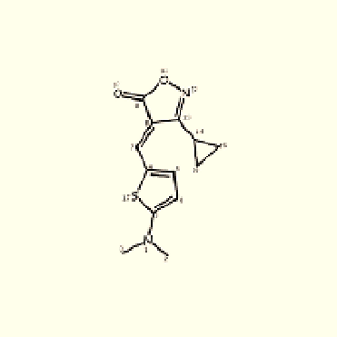 CN(C)c1ccc(/C=C2/C(=O)ON=C2C2CC2)s1